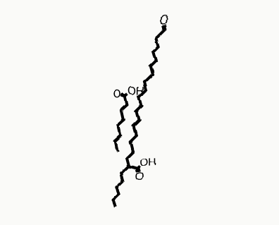 CCCCCCC(CCCCCCCCCCCCCCCCCC=O)C(=O)O.CCCCCCCC(=O)O